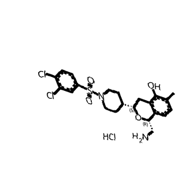 Cc1ccc2c(c1O)C[C@@H](C1CCN(S(=O)(=O)c3ccc(Cl)c(Cl)c3)CC1)O[C@H]2CN.Cl